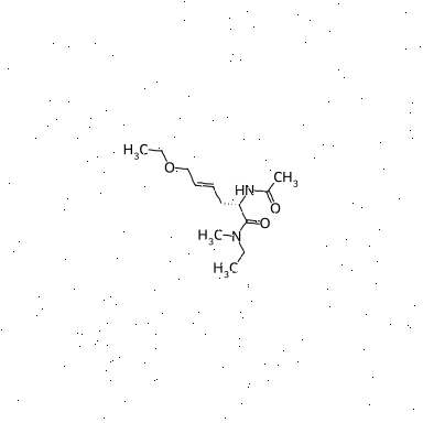 CCOCC=CC[C@H](NC(C)=O)C(=O)N(C)CC